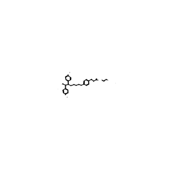 CCCCNC(=O)CCc1ccc(CCCCCC(c2ccc(O)cc2)C(CC)c2ccc(O)cc2)cc1